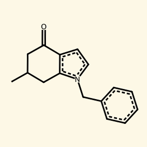 CC1CC(=O)c2ccn(Cc3ccccc3)c2C1